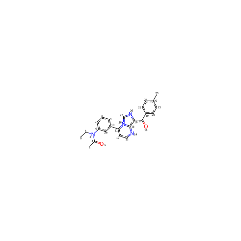 CCN(C(C)=O)c1cccc(-c2ccnc3c(C(=O)c4ccc(C)cc4)ncn23)c1